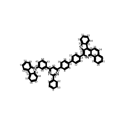 c1ccc(-c2nc(-c3ccc(-c4ccc(-c5nc6c7ccccc7ccc6c6c5sc5ccccc56)cc4)cc3)cc(-c3cccc(-n4c5ccccc5c5ccccc54)c3)n2)cc1